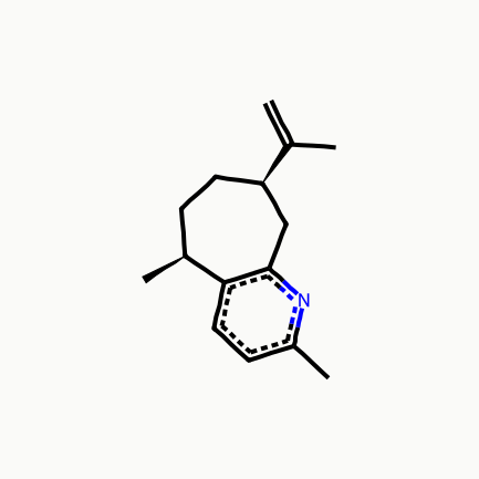 C=C(C)[C@@H]1CC[C@H](C)c2ccc(C)nc2C1